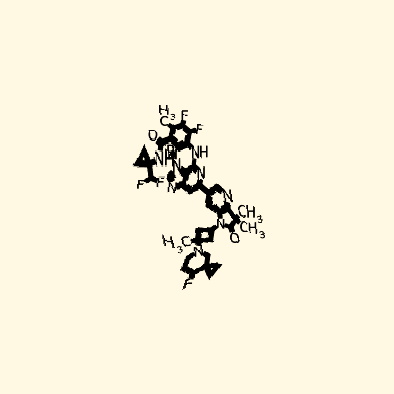 Cc1c(C(=O)NC2(C(F)F)CC2)cc(Nc2nc(-c3cnc4c(c3)N(C3CC(C)(N5CCC(F)C6(CC6)C5)C3)C(=O)C4(C)C)cc3ncn(C(C)C)c23)c(F)c1F